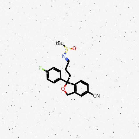 CC(C)(C)[S+]([O-])N=CCCC1(c2ccc(F)cc2)OCc2cc(C#N)ccc21